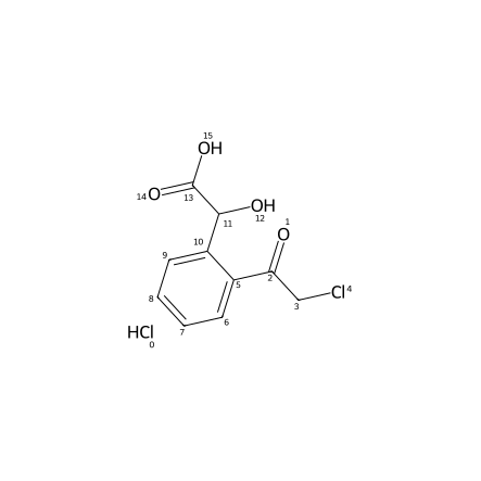 Cl.O=C(CCl)c1ccccc1C(O)C(=O)O